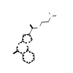 CN(C)CCNC(=O)c1cc2[nH]c(=O)c3ccccc3n2c1